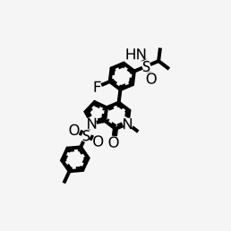 Cc1ccc(S(=O)(=O)n2ccc3c(-c4cc(S(=N)(=O)C(C)C)ccc4F)cn(C)c(=O)c32)cc1